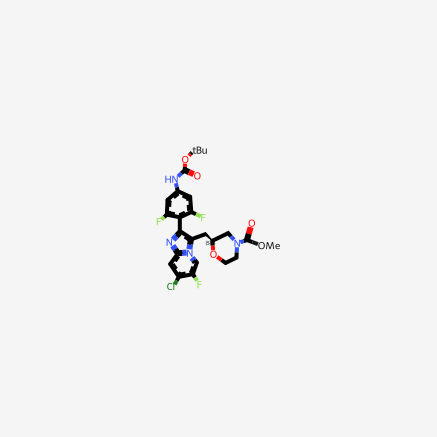 COC(=O)N1CCO[C@@H](Cc2c(-c3c(F)cc(NC(=O)OC(C)(C)C)cc3F)nc3cc(Cl)c(F)cn23)C1